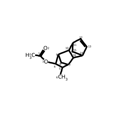 CC(=O)OC1C(C)C2CC1C1C3C=CC(C3)C21